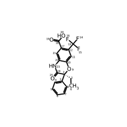 CC[C@@]1(c2ccccc2)Oc2cc(C(F)(F)F)c(C(=O)O)cc2NC1=O